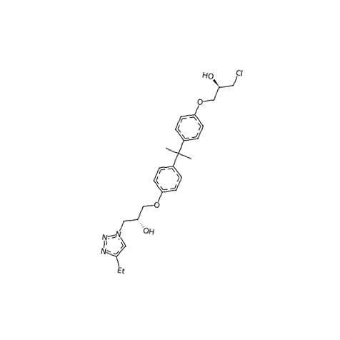 CCc1cn(C[C@@H](O)COc2ccc(C(C)(C)c3ccc(OC[C@@H](O)CCl)cc3)cc2)nn1